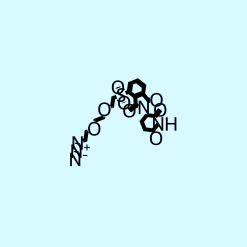 [N-]=[N+]=NCCOCCOCCS(=O)(=O)c1cccc2c1C(=O)N(C1CCC(=O)NC1=O)C2=O